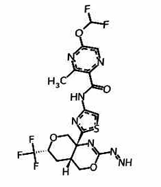 Cc1nc(OC(F)F)cnc1C(=O)Nc1csc([C@]23CO[C@@H](C(F)(F)F)C[C@H]2COC(N=N)=N3)n1